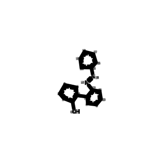 Oc1ccccc1-c1ccccc1N=Nc1ccccc1